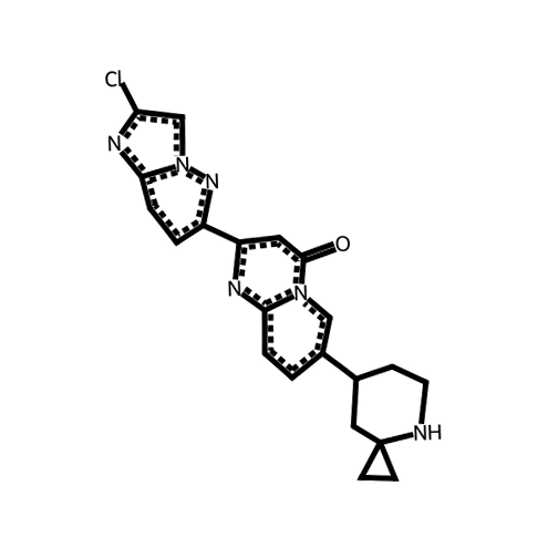 O=c1cc(-c2ccc3nc(Cl)cn3n2)nc2ccc(C3CCNC4(CC4)C3)cn12